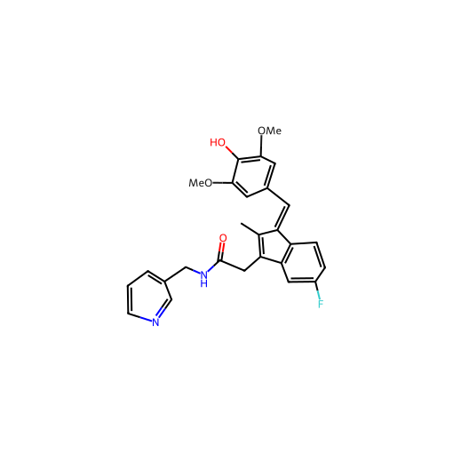 COc1cc(C=C2C(C)=C(CC(=O)NCc3cccnc3)c3cc(F)ccc32)cc(OC)c1O